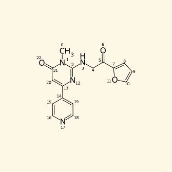 Cn1c(NCC(=O)c2ccco2)nc(-c2ccncc2)cc1=O